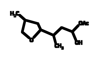 CC(=O)OC(O)CC(C)C1CC(C)CO1